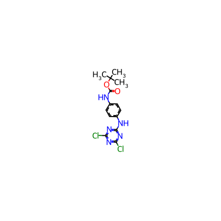 CC(C)(C)OC(=O)Nc1ccc(Nc2nc(Cl)nc(Cl)n2)cc1